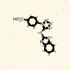 O=C(O)c1ccc(-n2nnnc2Sc2nc3ccccc3s2)cc1